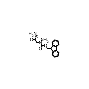 NOC(=O)CN(N)C(=O)OCC1c2ccccc2-c2ccccc21